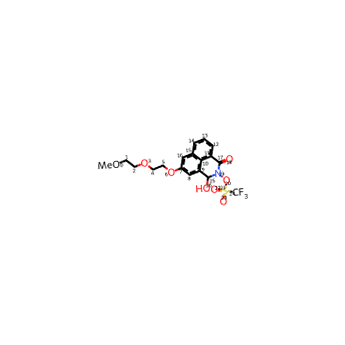 COCCOCCOc1cc2c3c(cccc3c1)C(=O)N(OS(=O)(=O)C(F)(F)F)C2O